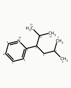 CC(C)CC(c1ccccn1)C(C)C